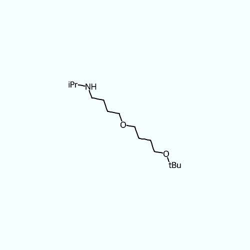 CC(C)NCCCCOCCCCOC(C)(C)C